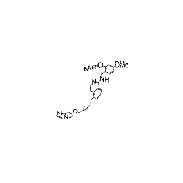 COc1ccc(CNc2nccc3c(CCC45CC(COc6ccn7ccnc7c6)(C4)C5)cccc23)c(OC)c1